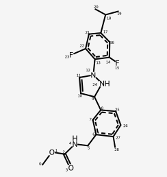 COC(=O)NCc1cc(C2C=CN(c3c(F)cc(C(C)C)cc3F)N2)ccc1C